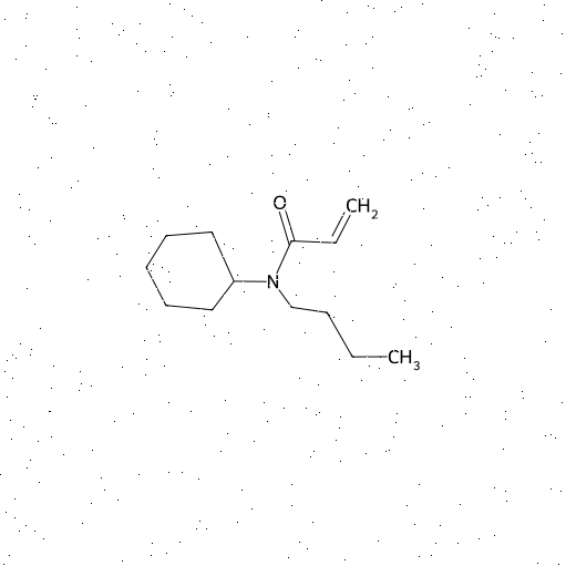 C=CC(=O)N(CCCC)C1CCCCC1